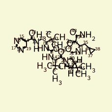 CC(C)(C)[C@H](NC(=O)N[C@H](CNC(=O)c1cncnc1)C(C)(C)C)C(=O)N1C[C@H]2[C@@H]([C@H]1C(=O)NC(CC1CC1)C(=O)C(N)=O)C2(C)C